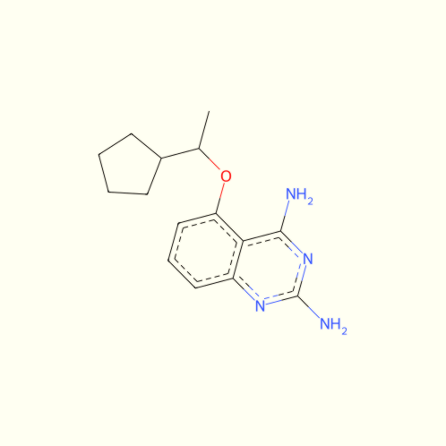 CC(Oc1cccc2nc(N)nc(N)c12)C1CCCC1